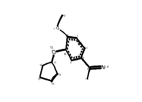 COc1ccc(C(C)=[N])cc1OC1CCCC1